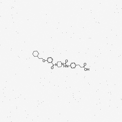 O=C(O)CCc1ccc(NC(=O)N2CCN(C(=O)c3cccc(OCCC4CCCCC4)c3)CC2)cc1